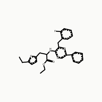 CCOC(=O)C(Cc1ccc(CC)o1)Nc1ncc(-c2ccccc2)nc1Cc1ccccc1F